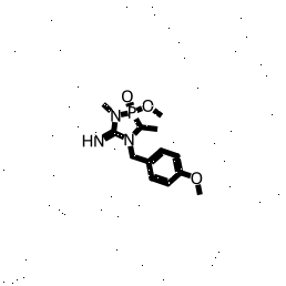 COc1ccc(CN2C(=N)N(C)P(=O)(OC)C2C)cc1